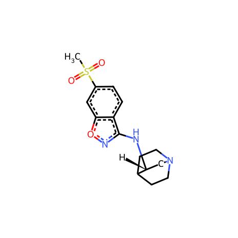 CS(=O)(=O)c1ccc2c(N[C@@H]3CN4CCC3CC4)noc2c1